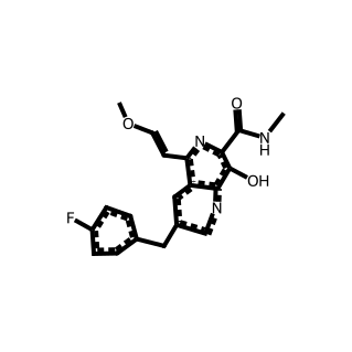 CNC(=O)c1nc(C=COC)c2cc(Cc3ccc(F)cc3)cnc2c1O